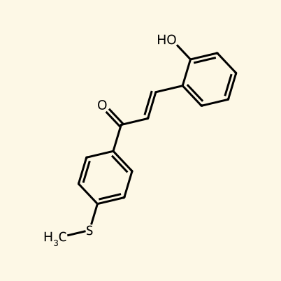 CSc1ccc(C(=O)C=Cc2ccccc2O)cc1